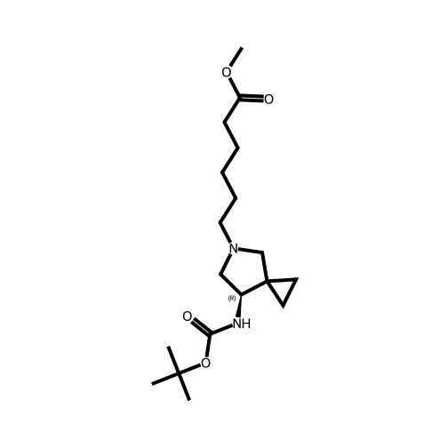 COC(=O)CCCCCN1C[C@H](NC(=O)OC(C)(C)C)C2(CC2)C1